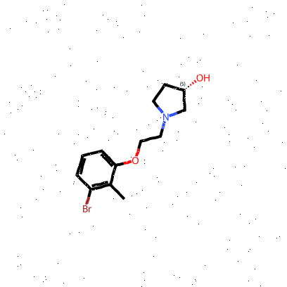 Cc1c(Br)cccc1OCCN1CC[C@H](O)C1